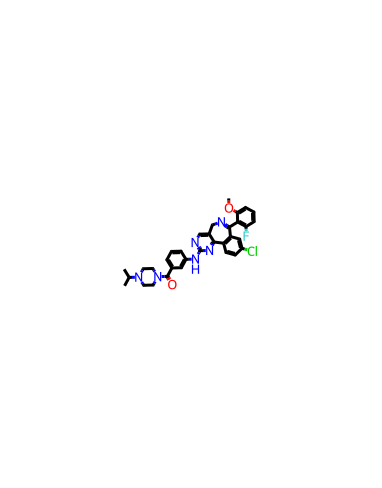 COc1cccc(F)c1C1=NCc2cnc(Nc3cccc(C(=O)N4CCN(C(C)C)CC4)c3)nc2-c2ccc(Cl)cc21